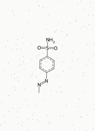 C/N=N/c1ccc(S(N)(=O)=O)cc1